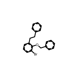 Brc1cccc(CCc2ccccc2)c1OCc1ccccc1